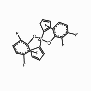 Fc1ccc(F)c([O][Zr]([O]c2c(F)ccc(F)c2F)([C]2=CC=CC2)[C]2=CC=CC2)c1F